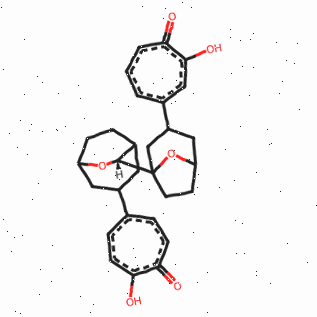 O=c1ccc(C2CC3CCC(C2)[C@H](C24CCC(CC(c5cccc(=O)c(O)c5)C2)O4)O3)ccc1O